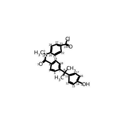 CN(C(=O)c1ccc(C(C)(C)c2ccc(O)cc2)cc1)c1ccc(C(=O)Cl)cc1